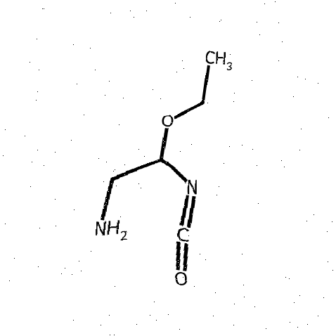 CCOC(CN)N=C=O